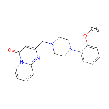 COc1ccccc1N1CCN(Cc2cc(=O)n3ccccc3n2)CC1